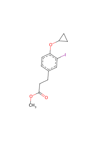 COC(=O)CCc1ccc(OC2CC2)c(I)c1